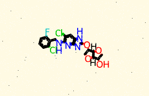 O[C@@H]1CO[C@H]2[C@@H]1OC[C@H]2Oc1nc2nc(NCc3c(F)cccc3Cl)c(Cl)cc2[nH]1